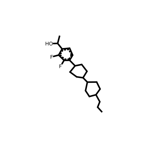 CCCC1CCC(C2CCC(c3ccc(C(C)O)c(F)c3F)CC2)CC1